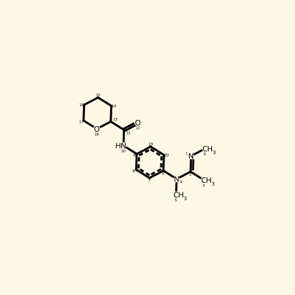 CN=C(C)N(C)c1ccc(NC(=O)C2CCCCO2)cc1